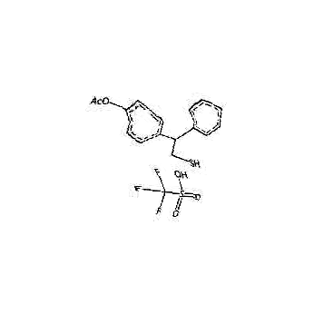 CC(=O)Oc1ccc(C(CS)c2ccccc2)cc1.O=S(=O)(O)C(F)(F)F